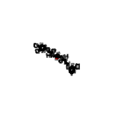 O=C(CCCOc1cccc(Cl)c1)NC12CC(NC(=O)COc3ccc(Cl)c(Cl)c3)(C1)C2